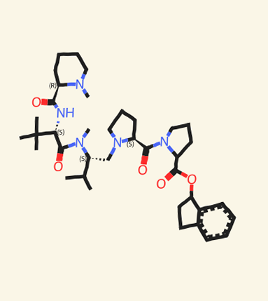 CC(C)[C@@H](CN1CCC[C@H]1C(=O)N1CCCC1C(=O)OC1CCc2ccccc21)N(C)C(=O)[C@@H](NC(=O)[C@H]1CCCCN1C)C(C)(C)C